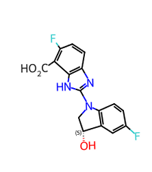 O=C(O)c1c(F)ccc2nc(N3C[C@@H](O)c4cc(F)ccc43)[nH]c12